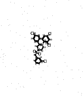 O=S(=O)(Cc1cccc(Cl)c1)N1CCN(c2ccc(Cl)cc2Cl)C(c2ccc(Cl)cc2)C1